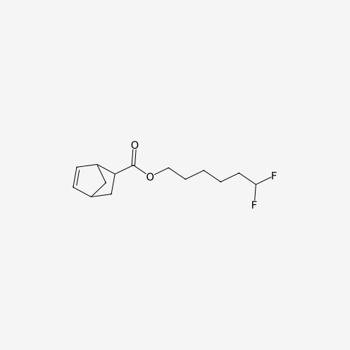 O=C(OCCCCCC(F)F)C1CC2C=CC1C2